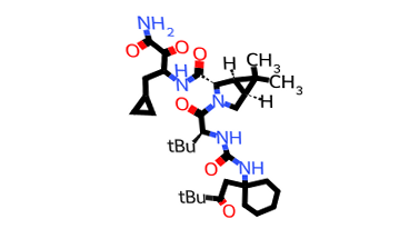 CC(C)(C)C(=O)CC1(NC(=O)N[C@H](C(=O)N2C[C@H]3[C@@H]([C@H]2C(=O)NC(CC2CC2)C(=O)C(N)=O)C3(C)C)C(C)(C)C)CCCCC1